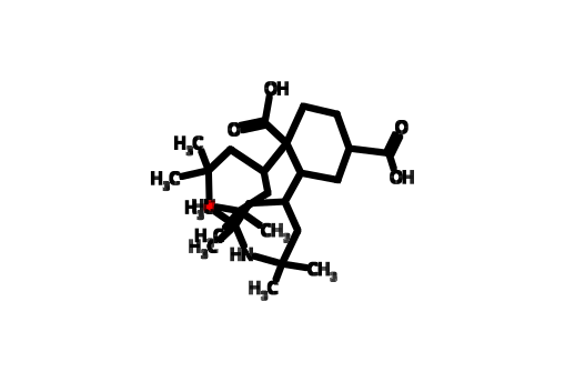 CC1(C)CC(C2CC(C(=O)O)CCC2(C(=O)O)C2CC(C)(C)NC(C)(C)C2)CC(C)(C)N1